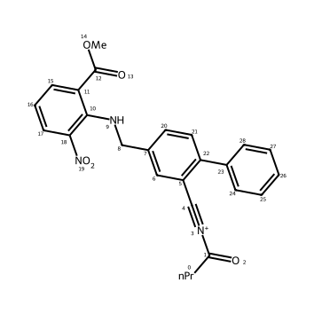 CCCC(=O)[N+]#Cc1cc(CNc2c(C(=O)OC)cccc2[N+](=O)[O-])ccc1-c1ccccc1